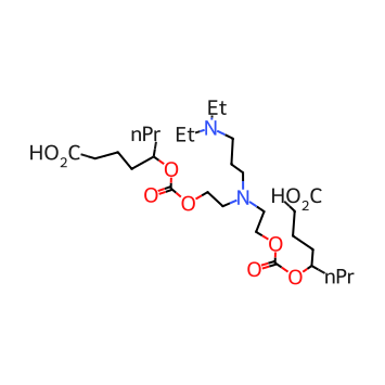 CCCC(CCCC(=O)O)OC(=O)OCCN(CCCN(CC)CC)CCOC(=O)OC(CCC)CCCC(=O)O